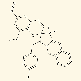 COc1cc(N=O)cc2c1OC1(C=C2)N(Cc2ccc(F)cc2)c2cc3ccccc3cc2C1(C)C